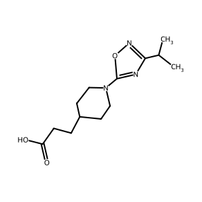 CC(C)c1noc(N2CCC(CCC(=O)O)CC2)n1